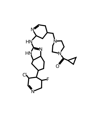 O=C(C1CC1)N1CCN(CC2CC=NC(NC3=NC4CCC(C5C(Cl)C=NCC5F)CC4N3)C2)CC1